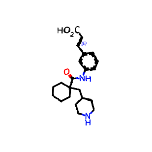 O=C(O)/C=C/c1cccc(NC(=O)C2(CC3CCNCC3)CCCCC2)c1